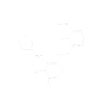 Cc1nnc(NCc2cccc(C(F)F)c2F)c2cc(N3CCCC3)cnc12